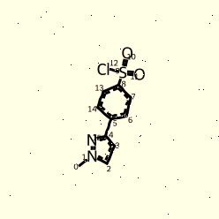 Cn1ccc(-c2ccc(S(=O)(=O)Cl)cc2)n1